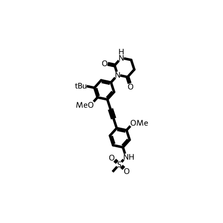 COc1cc(NS(C)(=O)=O)ccc1C#Cc1cc(N2C(=O)CCNC2=O)cc(C(C)(C)C)c1OC